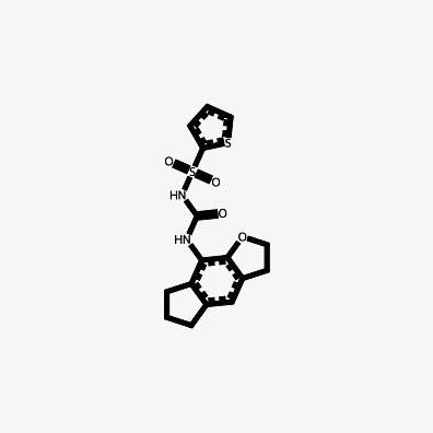 O=C(Nc1c2c(cc3c1OCC3)CCC2)NS(=O)(=O)c1cccs1